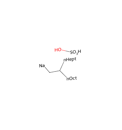 CCCCCCCCC([CH2][Na])CCCCCCC.O=S(=O)(O)O